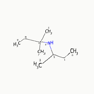 CCC(C)NC(C)(C)CC